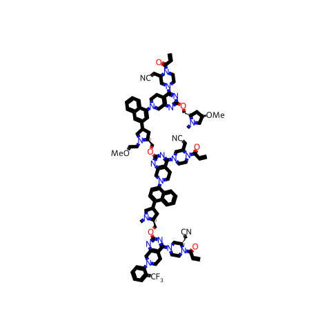 C=CC(=O)N1CCN(c2nc(OC[C@@H]3C[C@@H](OC)CN3C)nc3c2CCN(c2cc(C4C[C@@H](COc5nc6c(c(N7CCN(C(=O)C=C)C(CC#N)C7)n5)CCN(c5ccc(C7C[C@@H](COc8nc9c(c(N%10CCN(C(=O)C=C)[C@@H](CC#N)C%10)n8)CCN(c8ccccc8C(F)(F)F)C9)N(C)C7)c7ccccc57)C6)N(CCOC)C4)cc4ccccc24)C3)CC1CC#N